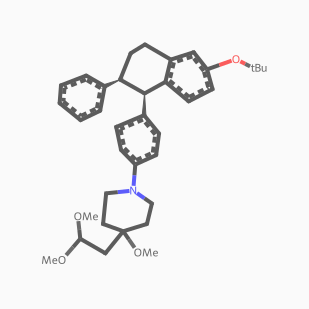 COC(CC1(OC)CCN(c2ccc([C@@H]3c4ccc(OC(C)(C)C)cc4CC[C@@H]3c3ccccc3)cc2)CC1)OC